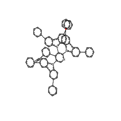 N#Cc1cccc(-c2c(-n3c4ccc(-c5ccccc5)cc4c4cc(-c5ccccc5)ccc43)cnc(-n3c4ccc(-c5ccccc5)cc4c4cc(-c5ccccc5)ccc43)c2-n2c3ccc(-c4ccccc4)cc3c3cc(-c4ccccc4)ccc32)c1